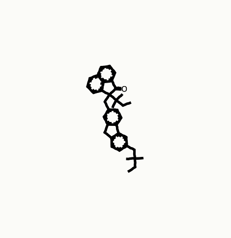 CCC(C)(C)Cc1ccc2c(c1)-c1ccc(CC3(C(C)(C)CC)C(=O)c4cccc5cccc3c45)cc1C2